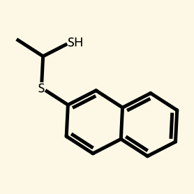 CC(S)Sc1ccc2ccccc2c1